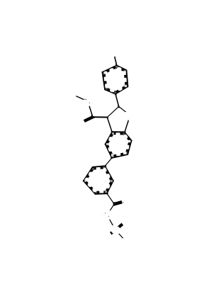 CNC(=O)C1c2cc(-c3cccc(C(=O)NS(C)(=O)=O)c3)ccc2OC1c1ccc(F)cc1